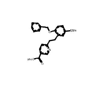 COC(=O)c1ccc(CCc2cc(SC)ccc2OCc2ccccc2)nc1